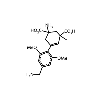 COc1cc(CN)cc(OC)c1C1=CC(C)(C(=O)O)CC(N)(C(=O)O)C1